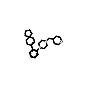 C1=C(c2ccccc2N2CCN(CC3CCOCC3)CC2)CCC2(C1)CCCC2